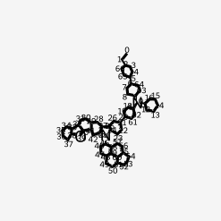 C=Cc1ccc(-c2ccc(N(c3ccccc3)c3ccc(-c4ccc5c(c4)c4cc6ccc7c8ccccc8oc7c6cc4n5-c4ccc5ccc6cccc7ccc4c5c67)cc3)cc2)cc1